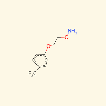 NOCCOc1ccc(C(F)(F)F)cc1